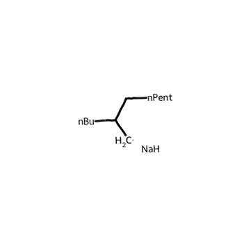 [CH2]C(CCCC)CCCCCC.[NaH]